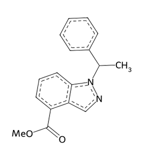 COC(=O)c1cccc2c1cnn2C(C)c1ccccc1